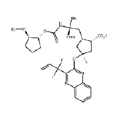 C=CC(F)(F)c1nc2ccccc2nc1O[C@]1(C)C[C@@H](C(=O)O)N(C[C@](C=O)(NC(=O)O[C@@H]2CCC[C@H]2OCC)C(C)(C)C)C1